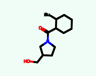 CCC(C)C1CCCCC1C(=O)N1CCC(CO)C1